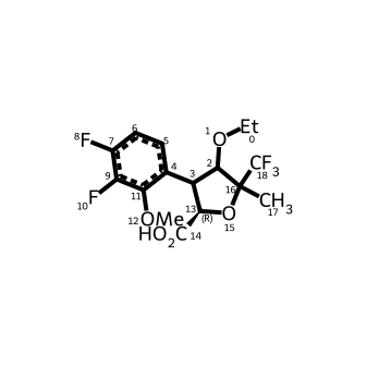 CCOC1C(c2ccc(F)c(F)c2OC)[C@H](C(=O)O)OC1(C)C(F)(F)F